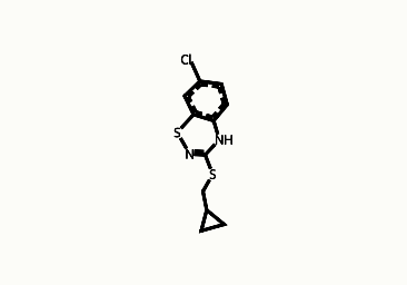 Clc1ccc2c(c1)SN=C(SCC1CC1)N2